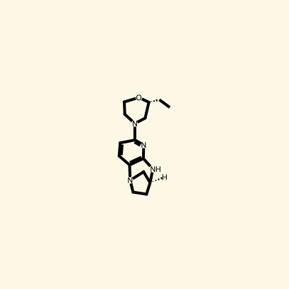 CC[C@@H]1CN(c2ccc3c(n2)N[C@H]2CCN3C2)CCO1